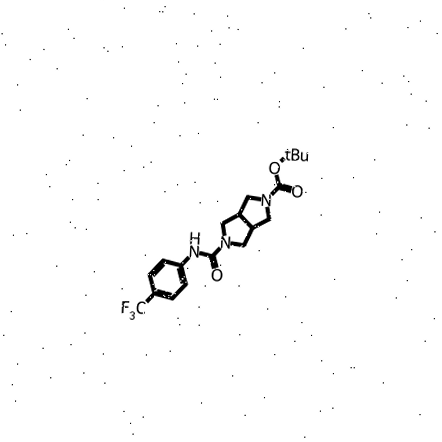 CC(C)(C)OC(=O)N1CC2CN(C(=O)Nc3ccc(C(F)(F)F)cc3)CC2C1